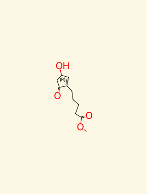 COC(=O)CCCCC1=C[C@H](O)CC1=O